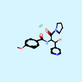 COc1ccc(C(=O)NC(C(=O)N2CCCC2)C(O)c2ccncc2)cc1.Cl